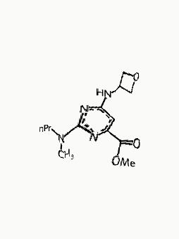 CCCN(C)c1nc(NC2COC2)cc(C(=O)OC)n1